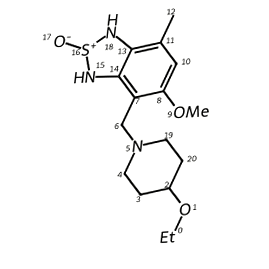 CCOC1CCN(Cc2c(OC)cc(C)c3c2N[S+]([O-])N3)CC1